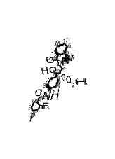 O=C(Nc1ccc(C(O)[C@H](CCn2nnc3ccccc3c2=O)C(=O)O)cc1)c1ccc(F)cc1F